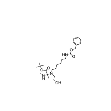 CNC(C)(C(=O)OC(C)(C)C)N(CCO)CCCCCCNC(=O)OCc1ccccc1